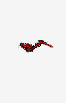 CCCCCCCCCCCCCCCCCCOc1cc(COC(=O)CCC(=O)OCCOCCOCCOC(=O)N2CCN(P(=O)(OC[C@@H]3CN(C(c4ccccc4)(c4ccccc4)c4ccccc4)C[C@H](n4ccc(NC(=O)c5ccccc5)nc4=O)O3)N(C)C)CC2)cc(C)c1C